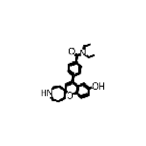 CCN(CC)C(=O)c1ccc(C2=CC3(CCCNCC3)Oc3ccc(O)cc32)cc1